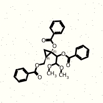 COC(OC)C(OC(=O)c1ccccc1)[C@]1(OC(=O)c2ccccc2)C[C@@H]1COC(=O)c1ccccc1